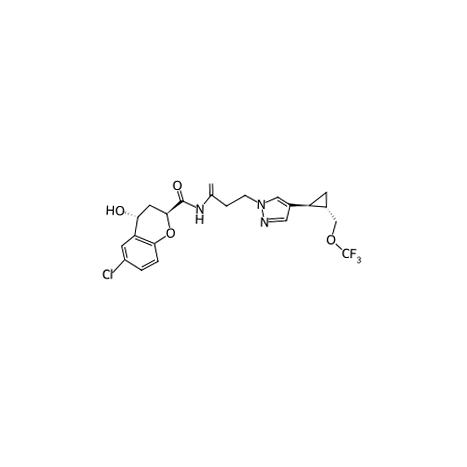 C=C(CCn1cc([C@H]2C[C@@H]2COC(F)(F)F)cn1)NC(=O)[C@@H]1C[C@@H](O)c2cc(Cl)ccc2O1